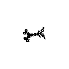 N#Cc1ccc(-c2cc(-c3c(C#N)cc(-c4ccc(-c5ccc(-n6c7ccc(-n8c9ccccc9c9ccccc98)cc7c7cc(-n8c9ccccc9c9ccccc98)ccc76)cc5)cc4)cc3C#N)nc(-c3ccc(C#N)cc3)n2)cc1